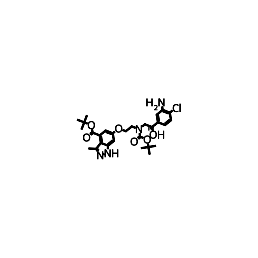 Cc1n[nH]c2cc(OCCN(C[C@H](O)c3ccc(Cl)c(N)c3)C(=O)OC(C)(C)C)cc(C(=O)OC(C)(C)C)c12